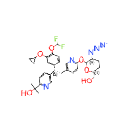 CC(C)(O)c1ccc([C@@H](Cc2ccc(OC3O[C@@H](CO)CC[C@H]3N=[N+]=[N-])nc2)c2ccc(OC(F)F)c(OC3CC3)c2)cn1